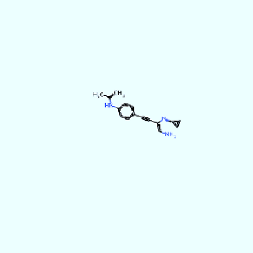 C=C(C)Nc1ccc(C#C/C(=C/N)N=c2cc2)cc1